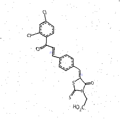 O=C(O)CN1C(=O)/C(=C/c2ccc(/C=C/C(=O)c3ccc(Cl)cc3Cl)cc2)SC1=S